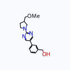 COCC1CCN(c2ncc(-c3cccc(CO)c3)cn2)C1